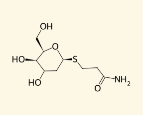 NC(=O)CCS[C@H]1CC(O)[C@@H](O)[C@@H](CO)O1